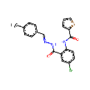 Cc1ccc(C=NNC(=O)c2cc(Br)ccc2NC(=O)c2cccs2)cc1